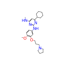 CNc1cc(C2CCCCC2)nc(Nc2ccc(OC)c(OCCCN3CCCC3)c2)n1